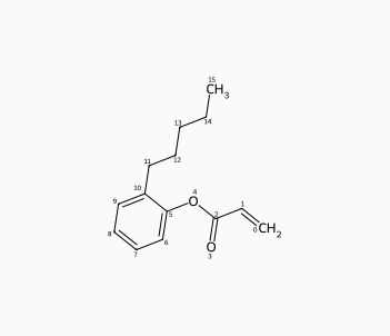 C=CC(=O)Oc1ccccc1CCCCC